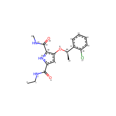 CCNC(=O)c1cc(O[C@H](C)c2ccccc2Cl)c(C(=O)NC)[nH]1